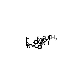 CSCC[C@H](NC(=O)c1cccc(C/C(=C/Cc2ncc[nH]2)c2ccc(F)cc2)c1)C(=O)O